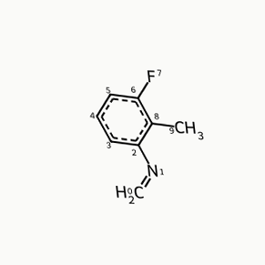 C=Nc1cccc(F)c1C